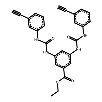 C#Cc1cccc(NC(=O)Nc2cc(NC(=O)Nc3cccc(C#C)c3)cc(C(=O)OCC)c2)c1